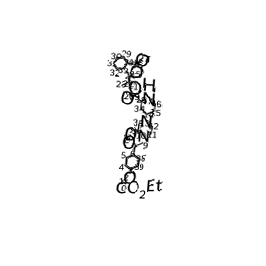 CCOC(=O)COc1ccc(C(=O)CN2CCN(C3CCNC(C(=O)O/C(C)=C4\OC(=O)c5ccccc54)C3)CC2=O)cc1